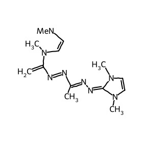 C=C(/N=N/C(C)=N/N=c1n(C)ccn1C)N(C)/C=C\NC